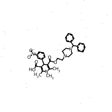 CC1=C(C(=O)O)C(c2cccc([N+](=O)[O-])c2)C(C(=O)OCCN2CCN(C(c3ccccc3)c3ccccc3)CC2)=C(C)N1C